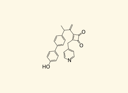 C=C(c1c(Cc2ccncc2)c(=O)c1=O)C(C)c1ccc(-c2ccc(O)cc2)cc1